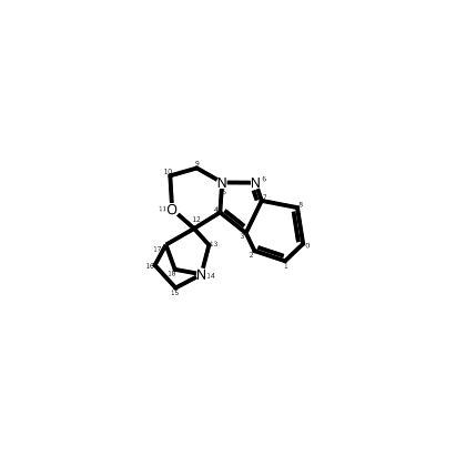 c1ccc2c3n(nc2c1)CCOC31CN2CCC1C2